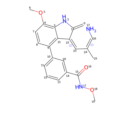 C=c1[nH]c2c(OC)ccc(-c3cccc(C(=O)NOC)c3)c2/c1=C/C(C)=C\N